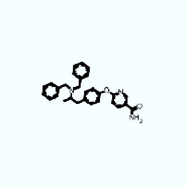 CC(Cc1ccc(Oc2ccc(C(N)=O)cn2)cc1)N(Cc1ccccc1)Cc1ccccc1